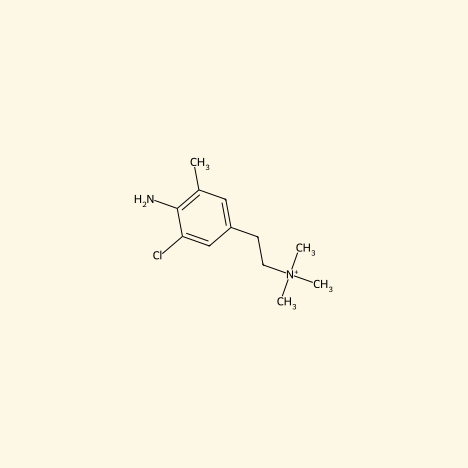 Cc1cc(CC[N+](C)(C)C)cc(Cl)c1N